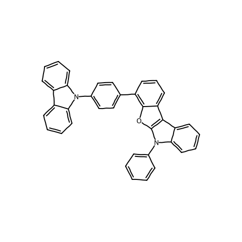 c1ccc(-n2c3ccccc3c3c4cccc(-c5ccc(-n6c7ccccc7c7ccccc76)cc5)c4oc32)cc1